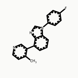 Cc1ccncc1-c1cccc2c1ncn2-c1ccc(F)cc1